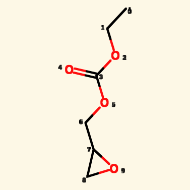 [CH2]COC(=O)OCC1CO1